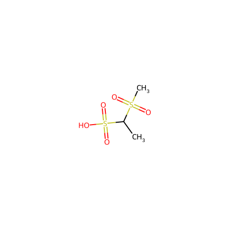 CC(S(C)(=O)=O)S(=O)(=O)O